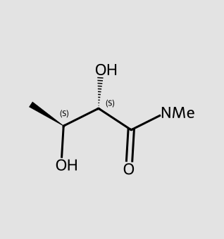 CNC(=O)[C@@H](O)[C@H](C)O